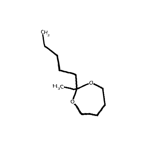 CCCCCC1(C)OCCCCO1